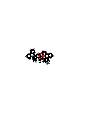 [CH3][Hf]([CH3])([CH3])(=[SiH2])([c]1ccccc1)([CH]1C=Cc2c(-c3ccccc3-c3ccccc3)cccc21)[CH]1C=Cc2c(-c3ccccc3-c3ccccc3)cccc21